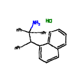 CCCC(c1cccc2ccccc12)C(N)(CCC)CCC.Cl